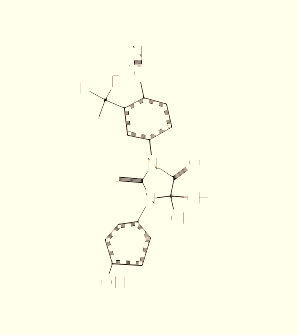 CC1(C)C(=O)N(c2ccc([14C]#N)c(C(F)(F)F)c2)C(=S)N1c1ccc(O)cc1